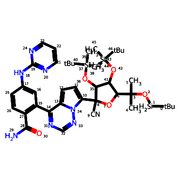 CC(C)(C)[SiH2]OC(C)(C)C1OC(C#N)(c2ccc3c(-c4cc(Nc5ncccn5)ccc4C(N)=O)ncnn23)C(O[Si](C)(C)C(C)(C)C)C1O[Si](C)(C)C(C)(C)C